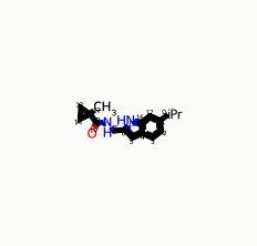 CC(C)c1ccc2cc(CNC(=O)C3(C)CC3)[nH]c2c1